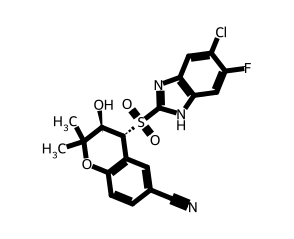 CC1(C)Oc2ccc(C#N)cc2[C@@H](S(=O)(=O)c2nc3cc(Cl)c(F)cc3[nH]2)[C@@H]1O